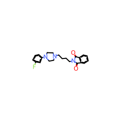 O=C1c2ccccc2C(=O)N1CCCCN1CCN(c2cccc(F)c2)CC1